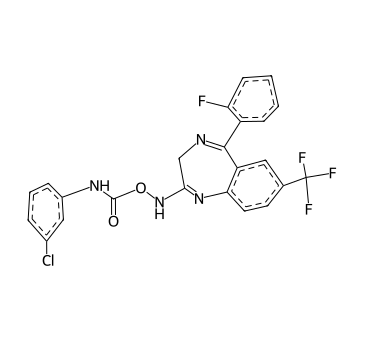 O=C(Nc1cccc(Cl)c1)ONC1=Nc2ccc(C(F)(F)F)cc2C(c2ccccc2F)=NC1